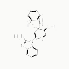 C=C1C=NC(n2c(N)nc3ccccc32)=CC1(C)Nc1ccccc1F